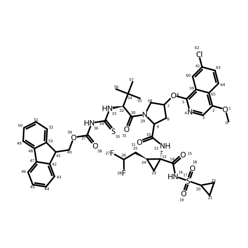 COc1cnc(OC2CC(C(=O)N[C@]3(C(=O)NS(=O)(=O)C4CC4)C[C@H]3CC(F)F)N(C(=O)[C@@H](NC(=S)NC(=O)OCC3c4ccccc4-c4ccccc43)C(C)(C)C)C2)c2cc(Cl)ccc12